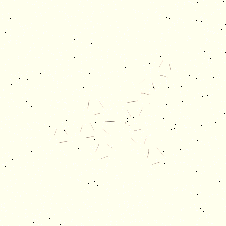 CC1(C)c2cc(-c3ccccc3)ccc2-c2ccc(N(c3ccc(-c4ccccc4)cc3)C3C=CC(c4c(-c5ccccc5)cc(-c5ccccc5)cc4-c4ccccc4)=CC3)cc21